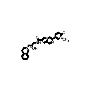 Cn1cc(-c2cn3cc(C(=O)NC[C@H](O)CN4CCc5ccccc5C4)nc3cn2)ccc1=O